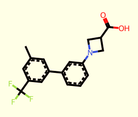 Cc1cc(-c2cccc(N3CC(C(=O)O)C3)c2)cc(C(F)(F)F)c1